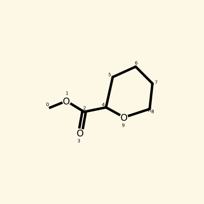 COC(=O)C1CCC[C]O1